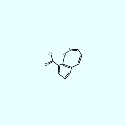 O=C(Cl)c1cccc2c1ON=CC=C2